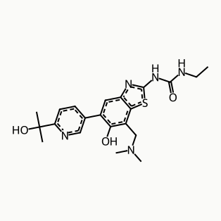 CCNC(=O)Nc1nc2cc(-c3ccc(C(C)(C)O)nc3)c(O)c(CN(C)C)c2s1